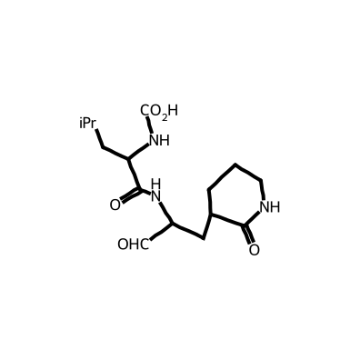 CC(C)CC(NC(=O)O)C(=O)NC(C=O)CC1CCCNC1=O